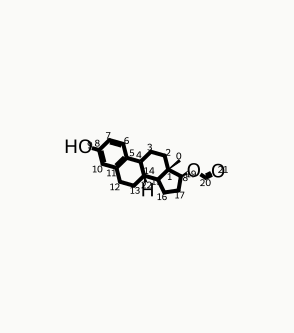 C[C@]12CCC3c4ccc(O)cc4CC[C@H]3C1CC[C@@H]2OC=O